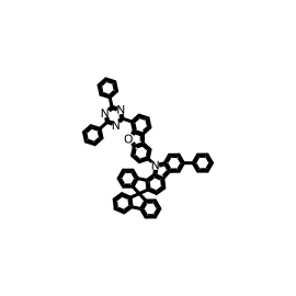 c1ccc(-c2ccc3c(c2)c2ccc4c(c2n3-c2ccc3oc5c(-c6nc(-c7ccccc7)nc(-c7ccccc7)n6)cccc5c3c2)-c2ccccc2C42c3ccccc3-c3ccccc32)cc1